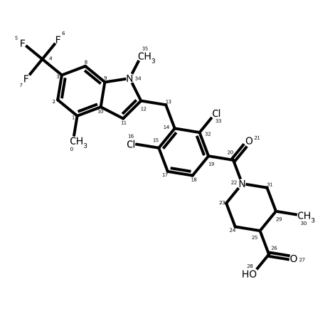 Cc1cc(C(F)(F)F)cc2c1cc(Cc1c(Cl)ccc(C(=O)N3CCC(C(=O)O)C(C)C3)c1Cl)n2C